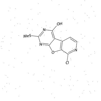 CSc1nc(O)c2c(n1)oc1c(Cl)nccc12